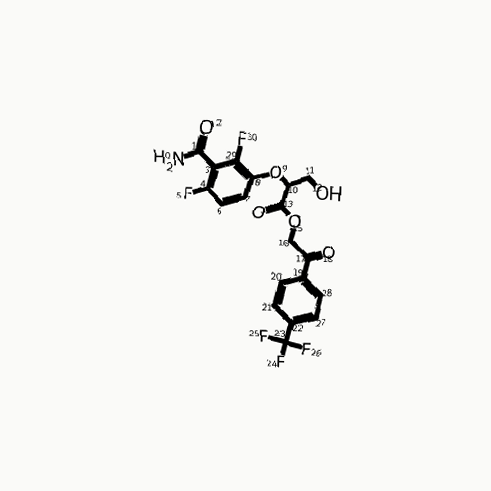 NC(=O)c1c(F)ccc(OC(CO)C(=O)OCC(=O)c2ccc(C(F)(F)F)cc2)c1F